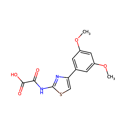 COc1cc(OC)cc(-c2csc(NC(=O)C(=O)O)n2)c1